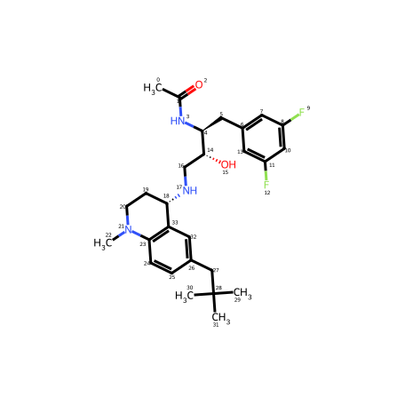 CC(=O)N[C@@H](Cc1cc(F)cc(F)c1)[C@H](O)CN[C@H]1CCN(C)c2ccc(CC(C)(C)C)cc21